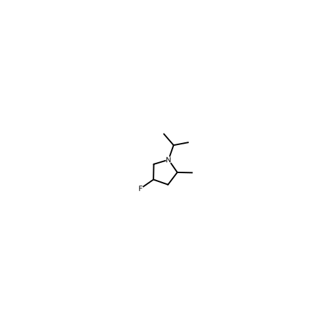 CC(C)N1CC(F)CC1C